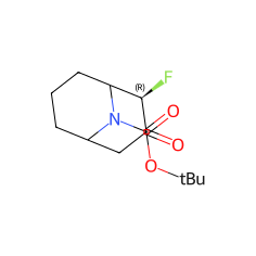 CC(C)(C)OC(=O)N1C2CCCC1[C@@H](F)C(=O)C2